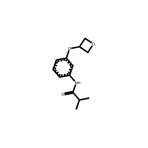 CC(C)C(=O)Nc1cccc(OC2COC2)c1